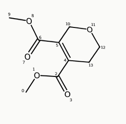 COC(=O)C1=C(C(=O)OC)COCC1